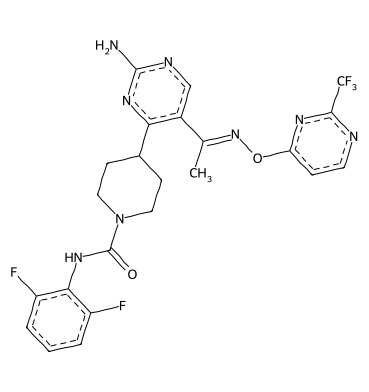 C/C(=N\Oc1ccnc(C(F)(F)F)n1)c1cnc(N)nc1C1CCN(C(=O)Nc2c(F)cccc2F)CC1